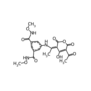 CONC(=O)c1cc(N/C(C)=C2\C(=O)OC(=O)C(C(C)=O)=C2O)cc(C(=O)NOC)c1